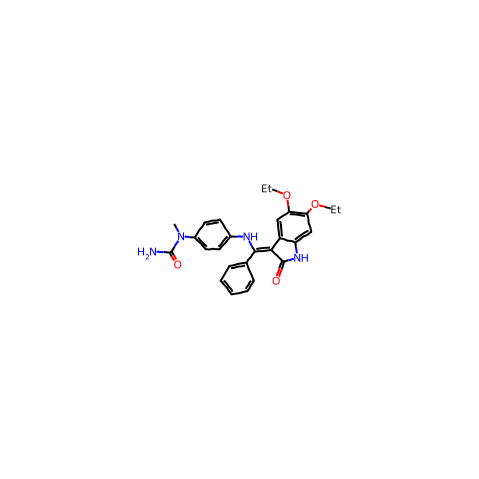 CCOc1cc2c(cc1OCC)C(=C(Nc1ccc(N(C)C(N)=O)cc1)c1ccccc1)C(=O)N2